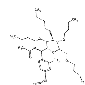 CCCCOCC1O[C@H]([C@H](OC(C)=O)c2ccc(N=[N+]=[N-])cc2C)C(OCCCC)[C@@H](OCCCC)[C@@H]1OCCCC